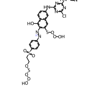 N#CNc1nc(Cl)nc(Nc2ccc3c(O)c(/N=N/c4ccc(S(=O)(=O)CCOSOOO)cc4)c(SOOO)cc3c2)n1